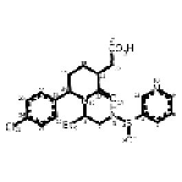 CCC(CN[S+]([O-])c1cccnc1)N1C(=O)C(CC(=O)O)CCC1c1ccc(Cl)cc1